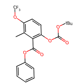 Cc1c(OC(F)(F)F)ccc(OC(=O)OC(C)(C)C)c1C(=O)Oc1ccccc1